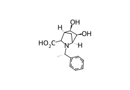 C[C@@H](c1ccccc1)N1C(C(=O)O)[C@@H]2C[C@H]1[C@H](O)[C@@H]2O